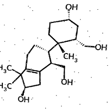 CC1(C)C2=C(C[C@H]1O)[C@H](CO)[C@@H]([C@]1(C)CC[C@H](O)C[C@@H]1CO)CC2